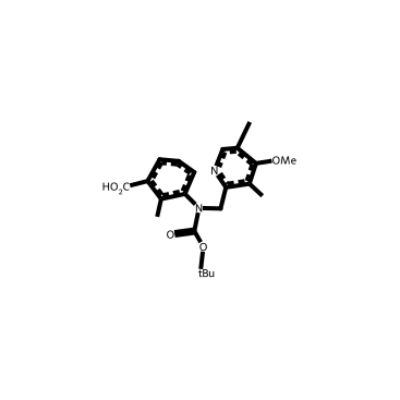 COc1c(C)cnc(CN(C(=O)OC(C)(C)C)c2cccc(C(=O)O)c2C)c1C